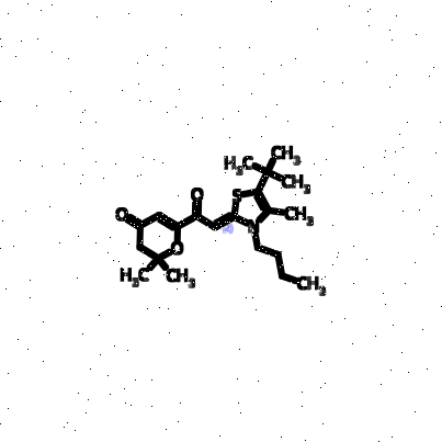 CCCCN1C(C)=C(C(C)(C)C)S/C1=C\C(=O)C1=CC(=O)CC(C)(C)O1